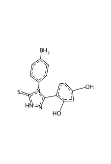 Bc1ccc(-n2c(-c3ccc(O)cc3O)n[nH]c2=S)cc1